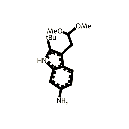 COC(Cc1c(C(C)(C)C)[nH]c2cc(N)ccc12)OC